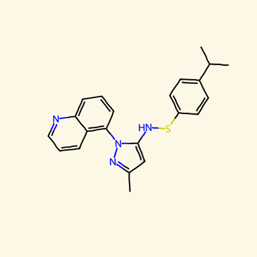 Cc1cc(NSc2ccc(C(C)C)cc2)n(-c2cccc3ncccc23)n1